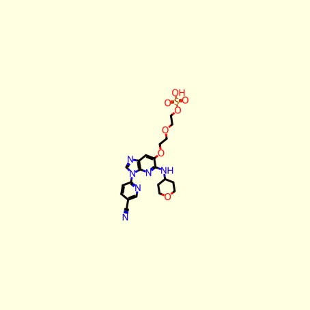 N#Cc1ccc(-n2cnc3cc(OCCOCCOS(=O)(=O)O)c(NC4CCOCC4)nc32)nc1